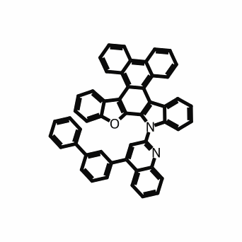 c1ccc(-c2cccc(-c3cc(-n4c5ccccc5c5c6c7ccccc7c7ccccc7c6c6c7ccccc7oc6c54)nc4ccccc34)c2)cc1